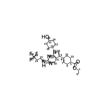 CCOC(=O)C1CC=C(c2cn([C@H]3CC[C@H](O)CC3)c3nc(NCCC(F)(F)F)ncc23)CC1